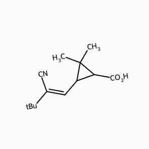 CC(C)(C)C(C#N)=CC1C(C(=O)O)C1(C)C